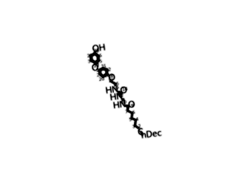 CCCCCCCCCCCCCCCCCC(=O)NCNC(=O)NCCOc1ccc(Oc2ccc(O)cc2)cc1